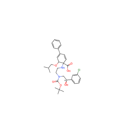 CC(C)COC1C=C(c2ccccc2)C=CC1(NCCN(C[C@H](O)c1cccc(Cl)c1)C(=O)OC(C)(C)C)C(=O)O